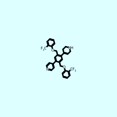 FC(F)(F)c1ccccc1OCc1cc(-c2ccncc2)c(COc2ccccc2C(F)(F)F)cc1C1=CCNCC1